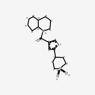 O=C(c1csc(C2CCS(=O)(=O)CC2)c1)N1CCCC2CCCCC21